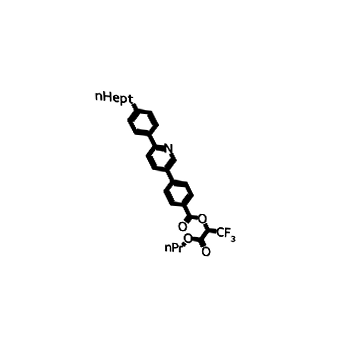 CCCCCCCc1ccc(-c2ccc(-c3ccc(C(=O)OC(C(=O)OCCC)C(F)(F)F)cc3)cn2)cc1